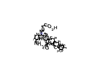 Nc1ccnc(/C(=N/OCC(=O)O)C(=O)NC2C(=O)N3C(C(=O)[O-])=C(C[n+]4ccccc4)CS[C@H]23)n1